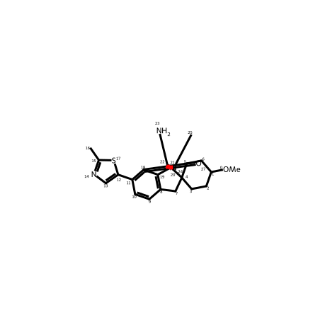 COC1CCC2(CC1)Cc1ccc(-c3cnc(C)s3)cc1C21N=C(N)N(C)C1=O